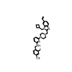 C=Cc1ccc2nc(CN3CCN(c4cccc(NCc5ccc(C#N)cc5F)n4)CC3)n(CC3CCC3)c2c1